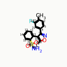 Cc1ccc(-c2noc(C)c2-c2ccccc2S(N)(=O)=O)cc1F